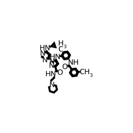 Cc1cccc(C(=O)Nc2ccc(C)c(Nc3cc(C(=O)NCCN4CCCCC4)nn3-c3cc(NC4CC4)ncn3)c2)c1